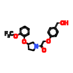 O=C(COc1ccc(CO)cc1)N1CCC(Oc2ccccc2OC(F)(F)F)C1